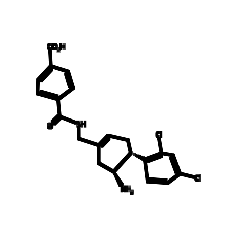 N[C@H]1CC(CNC(=O)c2ccc(C(=O)O)cc2)=CC[C@@H]1c1ccc(Cl)cc1Cl